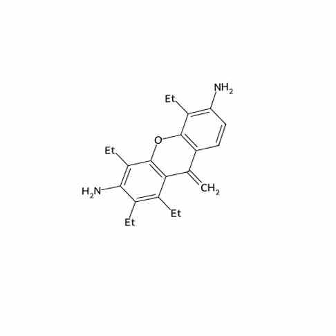 C=C1c2ccc(N)c(CC)c2Oc2c(CC)c(N)c(CC)c(CC)c21